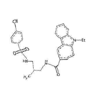 CCn1c2ccccc2c2cc(C(=O)NCC(C)CNS(=O)(=O)c3ccc(C#N)cc3)ccc21